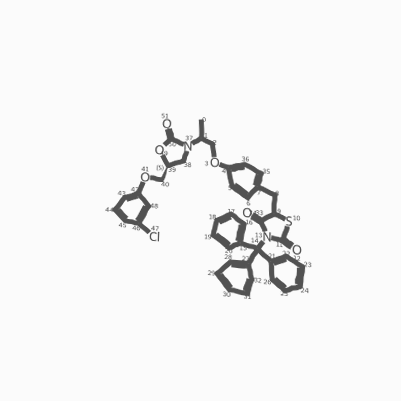 CC(COc1ccc(CC2SC(=O)N(C(c3ccccc3)(c3ccccc3)c3ccccc3)C2=O)cc1)N1C[C@@H](COc2cccc(Cl)c2)OC1=O